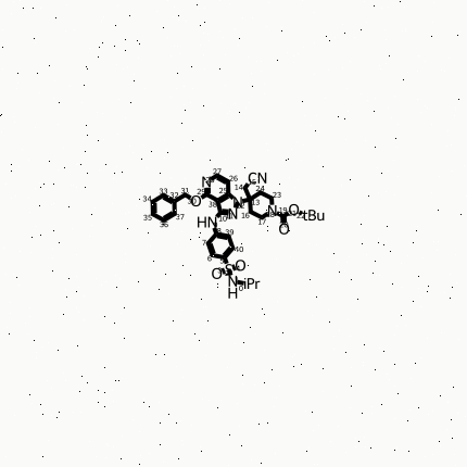 CC(C)NS(=O)(=O)c1ccc(Nc2nn(C3(CC#N)CCN(C(=O)OC(C)(C)C)CC3)c3ccnc(OCc4ccccc4)c23)cc1